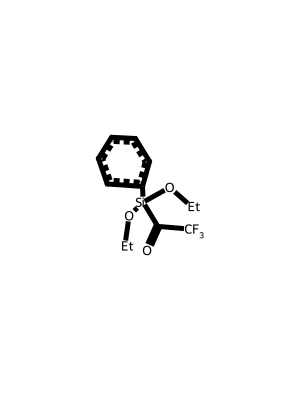 CCO[Si](OCC)(C(=O)C(F)(F)F)c1ccccc1